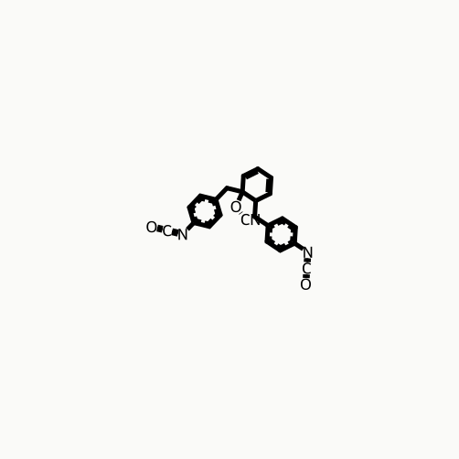 N#COC1(Cc2ccc(N=C=O)cc2)C=CC=CC1Cc1ccc(N=C=O)cc1